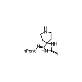 CCCCCN=C1NC(=S)NC12CCNCC2